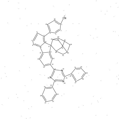 N#Cc1ccc(-c2cccc3c2C2(c4cc(-c5nc(-c6ccccc6)nc(-c6ccccc6)n5)ccc4-3)C3CC4CC(C3)CC2C4)cc1